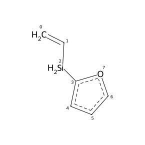 C=C[SiH2]c1ccco1